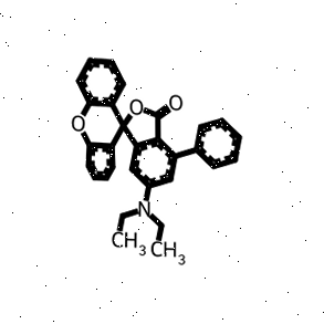 CCN(CC)c1cc(-c2ccccc2)c2c(c1)C1(OC2=O)c2ccccc2Oc2ccccc21